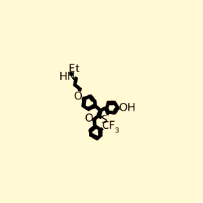 CCNCCCOc1ccc(-c2c(C(=O)c3ccccc3C(F)(F)F)sc3cc(O)ccc23)cc1